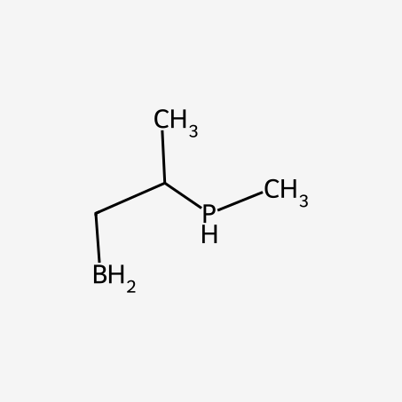 BCC(C)PC